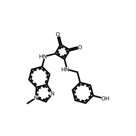 Cn1cnc2cc(Nc3c(NCc4cccc(O)c4)c(=O)c3=O)ccc21